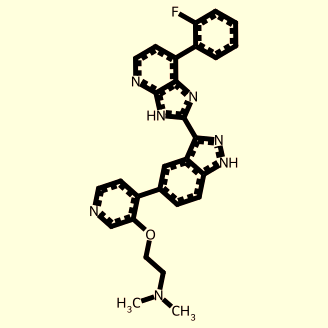 CN(C)CCOc1cnccc1-c1ccc2[nH]nc(-c3nc4c(-c5ccccc5F)ccnc4[nH]3)c2c1